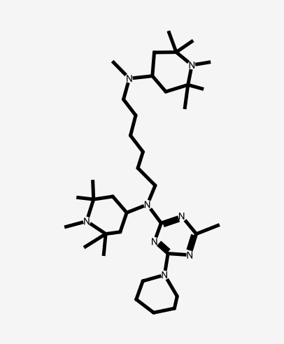 Cc1nc(N2CCCCC2)nc(N(CCCCCCN(C)C2CC(C)(C)N(C)C(C)(C)C2)C2CC(C)(C)N(C)C(C)(C)C2)n1